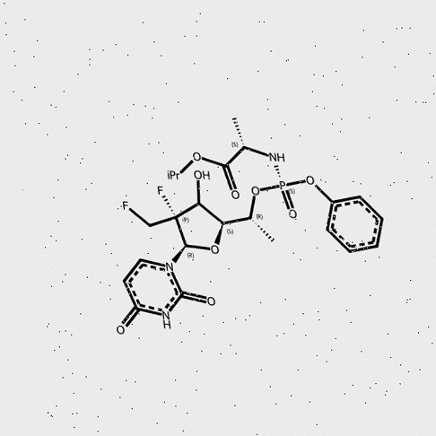 CC(C)OC(=O)[C@H](C)N[P@@](=O)(Oc1ccccc1)O[C@H](C)[C@H]1O[C@@H](n2ccc(=O)[nH]c2=O)[C@@](F)(CF)C1O